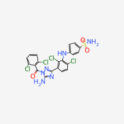 Nc1nc(-c2ccc(Cl)c(Nc3ccc(S(N)(=O)=O)cc3)c2Cl)nn1C(=O)c1c(Cl)cccc1Cl